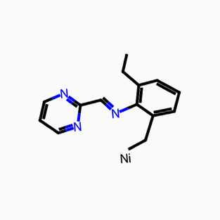 CCc1cccc(CC)c1N=Cc1ncccn1.[Ni]